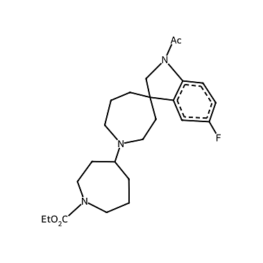 CCOC(=O)N1CCCC(N2CCCC3(CC2)CN(C(C)=O)c2ccc(F)cc23)CC1